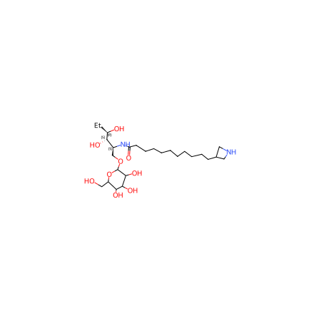 CC[C@@H](O)[C@@H](O)[C@H](COC1OC(CO)C(O)C(O)C1O)NC(=O)CCCCCCCCCCC1CNC1